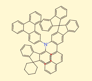 c1ccc2c(c1)-c1c(N(c3ccc4c5ccccc5c5ccccc5c4c3)c3cc4c(cc3-c3ccc5ccccc5c3)-c3ccccc3C43c4ccccc4-c4ccccc43)cccc1C21CCCCC1